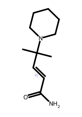 CC(C)(/C=C/C(N)=O)N1CCCCC1